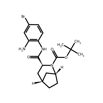 CC(C)(C)OC(=O)N1[C@@H]2CC[C@@H](C2)C[C@H]1C(=O)Nc1ccc(Br)cc1N